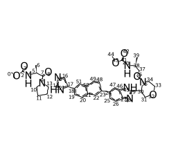 COC(=O)N[C@@H](C)C(=O)N1CCC[C@H]1c1ncc(-c2ccc3cc(-c4ccc5nc([C@@H]6COCCN6OC[C@H](C)NC(=O)OC)[nH]c5c4)ccc3c2)[nH]1